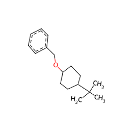 CC(C)(C)C1CCC(OCc2ccccc2)CC1